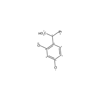 CC(C)C(C(=O)O)c1ccc(Cl)cc1Cl